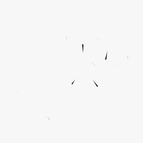 COc1ncc(C(F)(F)F)cc1CO[C@H]1[C@H](C(C)(C)C)[C@@H](C(=O)O)N(C(=O)[C@@H]2CCCCO2)[C@H]1c1ccccc1-c1ccn(C)c1